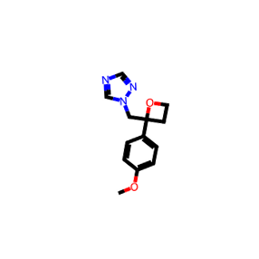 COc1ccc(C2(Cn3cncn3)CCO2)cc1